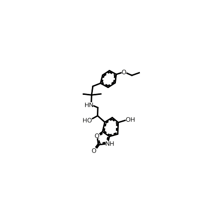 CCOc1ccc(CC(C)(C)NCC(O)c2cc(O)cc3[nH]c(=O)oc23)cc1